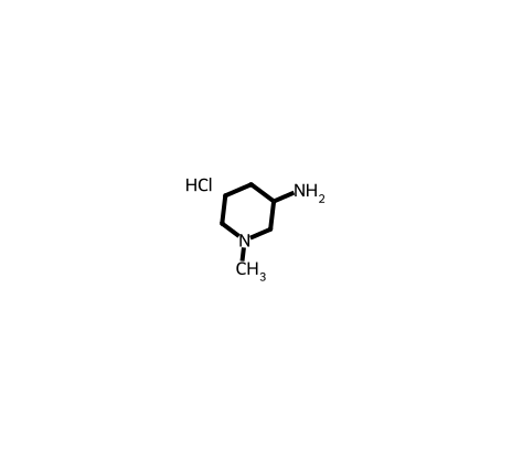 CN1CCCC(N)C1.Cl